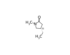 CC[C@H]1CC(=O)N(C)C1